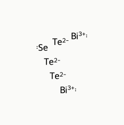 [Bi+3].[Bi+3].[Se].[Te-2].[Te-2].[Te-2]